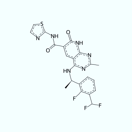 Cc1nc(N[C@H](C)c2cccc(C(F)F)c2F)c2cc(C(=O)Nc3nccs3)c(=O)[nH]c2n1